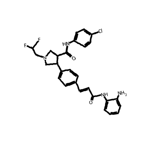 Nc1ccccc1NC(=O)/C=C/c1ccc(C2CN(CC(F)F)CC2C(=O)Nc2ccc(Cl)cc2)cc1